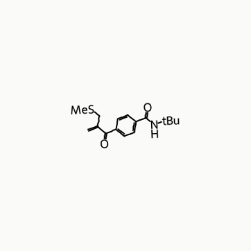 C=C(CSC)C(=O)c1ccc(C(=O)NC(C)(C)C)cc1